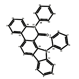 O=c1c2c(ccc3c4ccccc4n(-c4ccccc4)c32)c2ccccc2n1-c1ccccc1